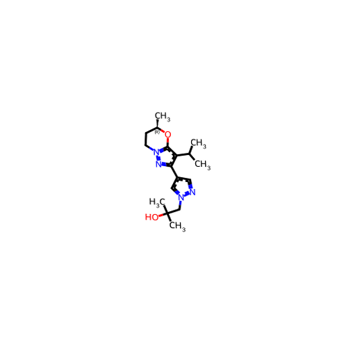 CC(C)c1c(-c2cnn(CC(C)(C)O)c2)nn2c1O[C@H](C)CC2